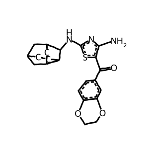 Nc1nc(NC2C3CC4CCC2C(C4)C3)sc1C(=O)c1ccc2c(c1)OCCO2